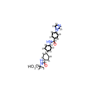 CC(C)(NC(=O)[C@H]1CC[C@H](c2ccc(NC(=O)c3ccc(-n4ccnc4)cc3)cc2)CC1)C(=O)O